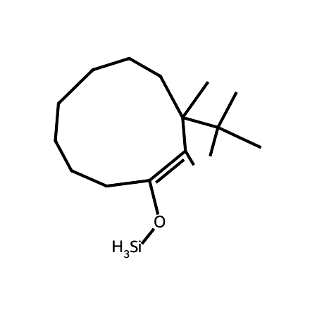 CC1=C(O[SiH3])CCCCCCCC1(C)C(C)(C)C